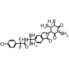 BC1C(=O)N(B)C(=O)C(N2Cc3cc(C(B)(B)NC(=O)C(F)(F)c4ccc(Cl)cc4)ccc3C2=O)C1B